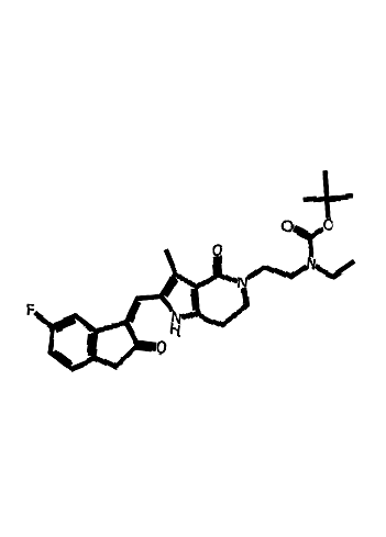 CCN(CCN1CCc2[nH]c(C=C3C(=O)Cc4ccc(F)cc43)c(C)c2C1=O)C(=O)OC(C)(C)C